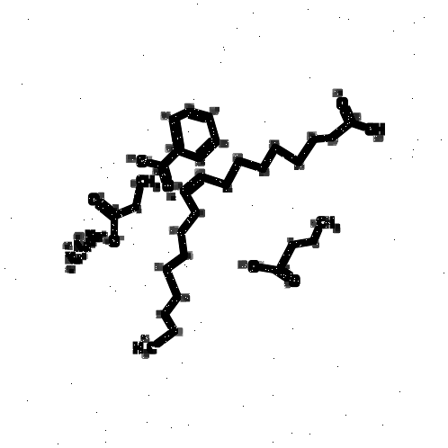 CCC(=O)[O-].CCCC(=O)[O-].CCCCCCCC/C=C\CCCCCCCC(=O)O.O=C([O-])c1ccccc1.[Na+].[Na+].[Na+]